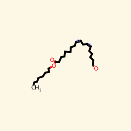 CCCCCCCCOC(=O)CCCCCCC/C=C\C/C=C\CCCCC[O]